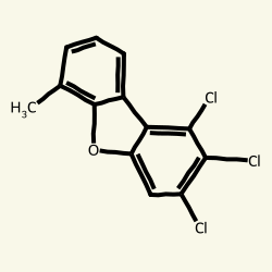 Cc1cccc2c1oc1cc(Cl)c(Cl)c(Cl)c12